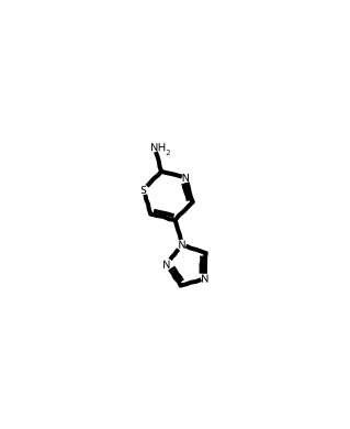 NC1N=CC(n2cncn2)=CS1